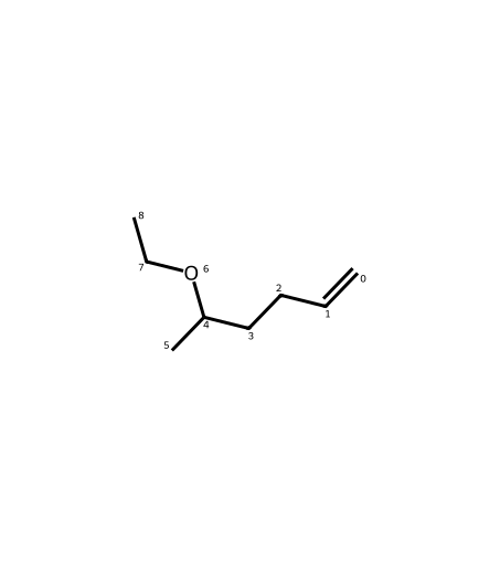 C=CCCC(C)OCC